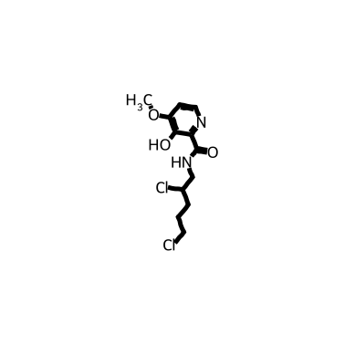 COc1ccnc(C(=O)NCC(Cl)CCCCl)c1O